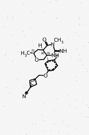 C[C@H]1C[C@H]2C(=O)N(C)C(=N)N[C@@]2(c2cc(OCC34CC(C#N)(C3)C4)ccc2F)CO1